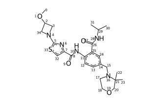 COC1CN(c2nc(C(=O)Nc3ccc(CN4CCOCC4(C)C)cc3C(=O)NC(C)C)cs2)C1